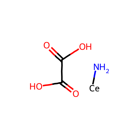 O=C(O)C(=O)O.[NH2][Ce]